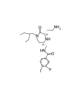 CCC(CC)CN1CC[C@@H](CNC(=O)c2ccc(I)c(F)c2)N[C@@H](CCN)C1=O